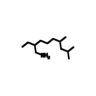 CCC(CN)CCCC(C)CC(C)C